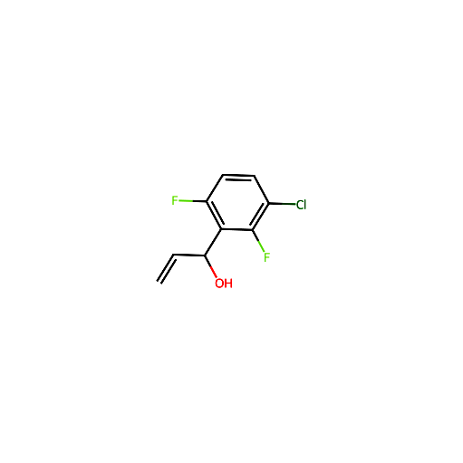 C=CC(O)c1c(F)ccc(Cl)c1F